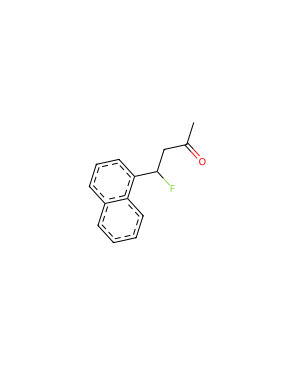 CC(=O)CC(F)c1cccc2ccccc12